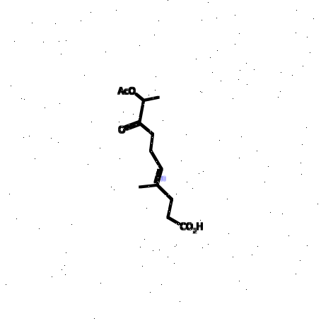 CC(=O)OC(C)C(=O)CC/C=C(\C)CCC(=O)O